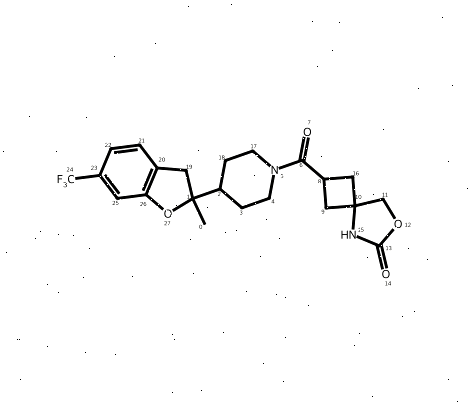 CC1(C2CCN(C(=O)C3CC4(COC(=O)N4)C3)CC2)Cc2ccc(C(F)(F)F)cc2O1